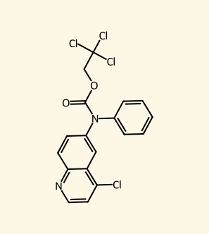 O=C(OCC(Cl)(Cl)Cl)N(c1ccccc1)c1ccc2nccc(Cl)c2c1